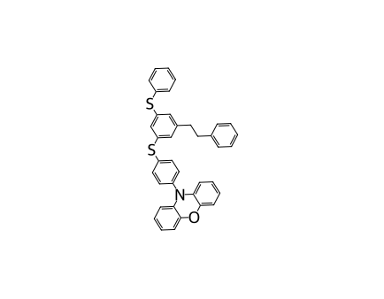 c1ccc(CCc2cc(Sc3ccccc3)cc(Sc3ccc(N4c5ccccc5Oc5ccccc54)cc3)c2)cc1